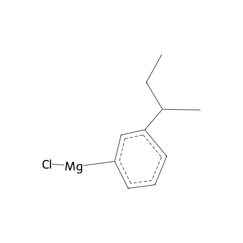 CCC(C)c1ccc[c]([Mg][Cl])c1